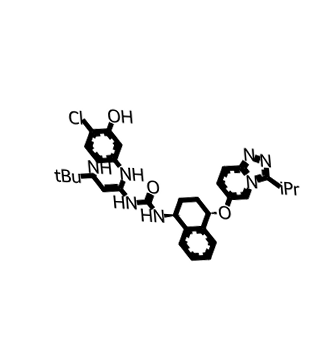 CC(C)c1nnc2ccc(O[C@H]3CC[C@H](NC(=O)N/C(=C/C(=N)C(C)(C)C)Nc4ccc(Cl)c(O)c4)c4ccccc43)cn12